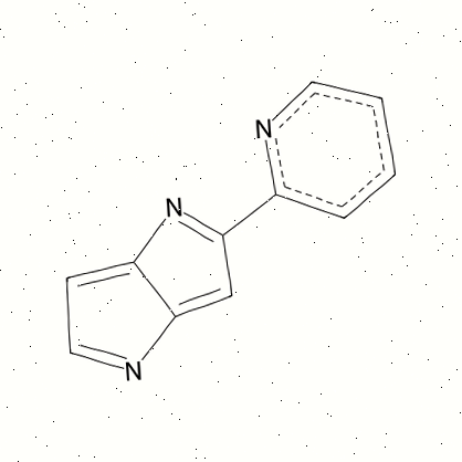 C1=NC2=CC(c3ccccn3)=NC2=C1